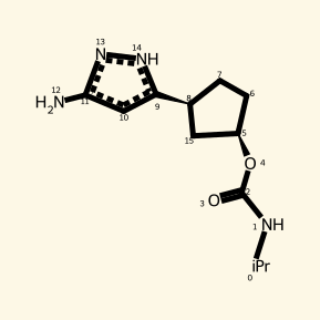 CC(C)NC(=O)O[C@@H]1CC[C@H](c2cc(N)n[nH]2)C1